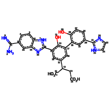 N=C(N)c1ccc2[nH]c(-c3cc(C(CC(=O)O)C(=O)O)cc(-c4cc(-c5ncc[nH]5)ccc4O)c3O)nc2c1